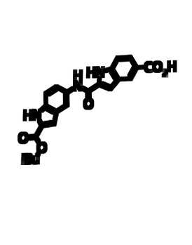 CCC(C)OC(=O)c1cc2cc(NC(=O)c3cc4cc(C(=O)O)ccc4[nH]3)ccc2[nH]1